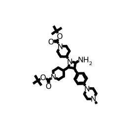 CN1CCN(c2ccc(C3C(N)N(C4CCN(C(=O)OC(C)(C)C)CC4)C3C3CCN(C(=O)OC(C)(C)C)CC3)cc2)CC1